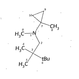 CN(CC(C)(C)C(C)(C)C)C1(C)CC1